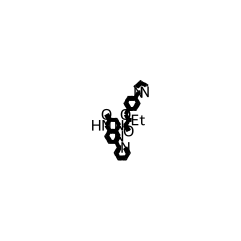 CCC(Oc1ccc(-n2cccn2)cc1)C(=O)N1CC(=O)Nc2ccc(-c3ccccn3)nc21